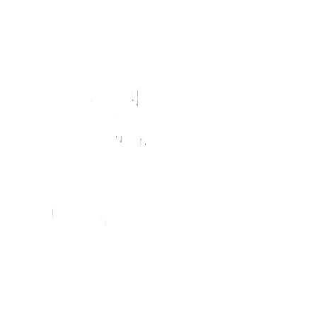 O=Cc1ccc(-c2nn(-c3ccc(Cl)c(Cl)c3)c(=O)[nH]2)cc1